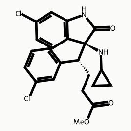 COC(=O)CC[C@H](c1cccc(Cl)c1)[C@@]1(NC2CC2)C(=O)Nc2cc(Cl)ccc21